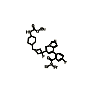 CCN(C(=O)c1cc(F)ccc1-c1cc(C2(F)CN(CC3CCC(NC(=O)OC(C)(C)C)CC3)C2)cn2cncc12)C(C)C